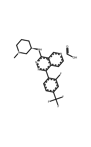 CN1CCC[C@@H](Nc2nnc(-c3ccc(C(F)(F)F)cc3F)c3ccncc23)C1.O=CO